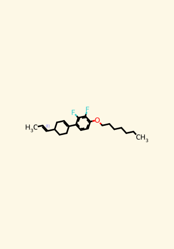 C/C=C/C1CC=C(c2ccc(OCCCCCCC)c(F)c2F)CC1